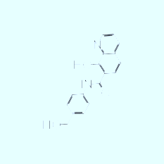 O=C(Nc1ccc(CO)cc1)c1ccc2cccnc2c1O